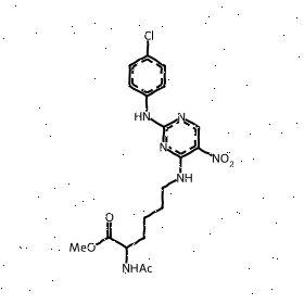 COC(=O)C(CCCCNc1nc(Nc2ccc(Cl)cc2)ncc1[N+](=O)[O-])NC(C)=O